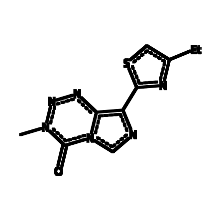 CCc1csc(-c2ncn3c(=O)n(C)nnc23)n1